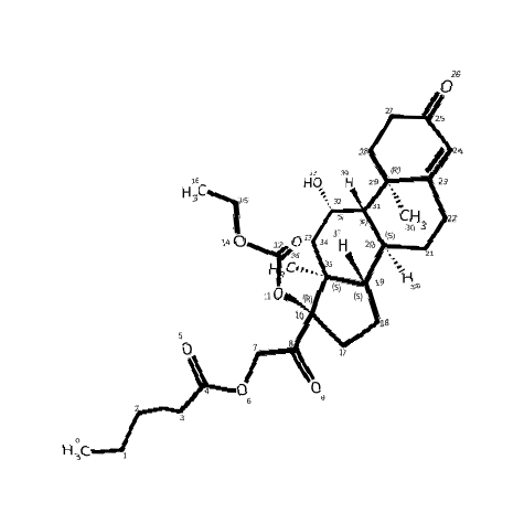 CCCCC(=O)OCC(=O)[C@@]1(OC(=O)OCC)CC[C@H]2[C@@H]3CCC4=CC(=O)CC[C@]4(C)[C@H]3[C@@H](O)C[C@@]21C